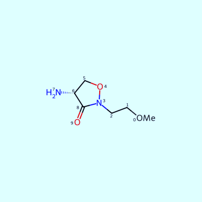 COCCN1OC[C@@H](N)C1=O